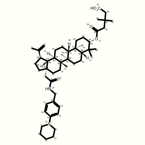 C=C(C)[C@@H]1CC[C@]2(CC(=O)NCc3ccc(N4CCCCC4)cc3)CC[C@]3(C)[C@H](CC[C@@H]4[C@@]5(C)CC[C@H](OC(=O)CC(C)(C)CC(=O)O)C(C)(C)[C@@H]5CC[C@]43C)[C@@H]12